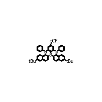 CC(C)(C)c1ccc2c3c(ccc2c1)B1c2ccc4cc(C(C)(C)C)ccc4c2N(c2ccccc2)c2cc(SC(F)(F)F)cc(c21)N3c1ccccc1